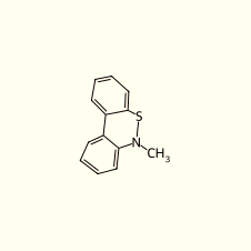 CN1Sc2ccccc2-c2ccccc21